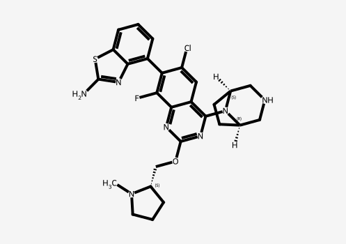 CN1CCC[C@H]1COc1nc(N2[C@@H]3CC[C@H]2CNC3)c2cc(Cl)c(-c3cccc4sc(N)nc34)c(F)c2n1